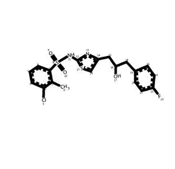 Cc1c(Cl)cccc1S(=O)(=O)Nc1nc(CC(O)Cc2ccc(F)cc2)cs1